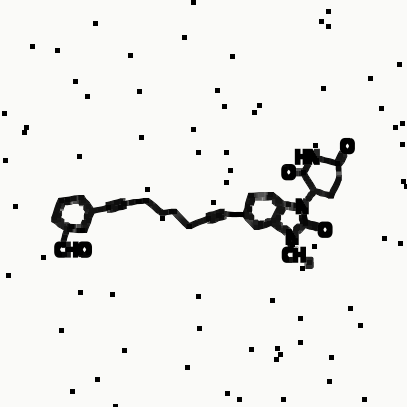 Cn1c(=O)n(C2CCC(=O)NC2=O)c2ccc(C#CCCCCC#Cc3cccc(C=O)c3)cc21